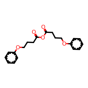 O=C(CCCOc1ccccc1)OC(=O)CCCOc1ccccc1